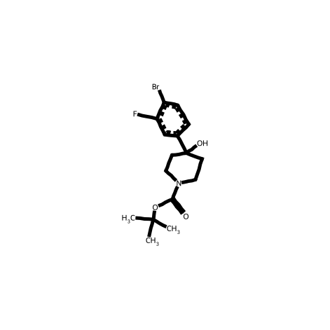 CC(C)(C)OC(=O)N1CCC(O)(c2ccc(Br)c(F)c2)CC1